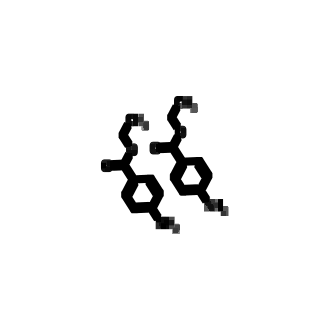 CCOC(=O)c1ccc(N)cc1.CCOC(=O)c1ccc(N)cc1